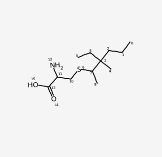 CCCC(C)(CC)C(C)SCC(N)C(=O)O